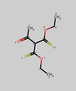 CCOC(=S)C(C(C)=O)C(=S)OCC